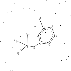 Cc1cccc2c1CC(F)(F)C2